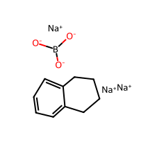 [Na+].[Na+].[Na+].[O-]B([O-])[O-].c1ccc2c(c1)CCCC2